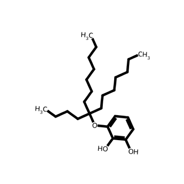 CCCCCCCC(CCCC)(CCCCCCC)Oc1cccc(O)c1O